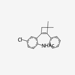 CC(=O)Nc1ccc(Cl)cc1C1=C(c2ccccc2)C(C)(C)C1